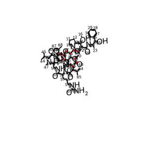 CC[C@H](C)[C@@H]([C@@H](CC(=O)N1CCC[C@H]1[C@H](OC)[C@@H](C)C(=O)N[C@H](C)[C@@H](O)c1ccccc1)OC)N(C)C(=O)[C@@H](NC(=O)[C@H](C(C)C)N(C)C(=O)CNC(=O)C(CCCNC(N)=O)NC(=O)[C@@H](NC(=O)CCN(C)CCCN1C(=O)C=CC1=O)C(C)C)C(C)C